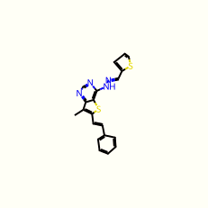 Cc1c(/C=C/c2ccccc2)sc2c(NN=Cc3cccs3)ncnc12